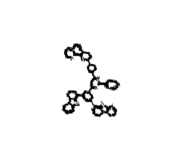 c1ccc(-c2nc(-c3ccc(-c4ccc5ccc6cccnc6c5n4)cc3)cc(-c3cc(-c4cccc5c4sc4ccccc45)cc(-c4cccc5c4sc4ccccc45)c3)n2)cc1